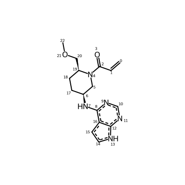 C=CC(=O)N1C[C@@H](Nc2ncnc3[nH]ccc23)CC[C@H]1COC